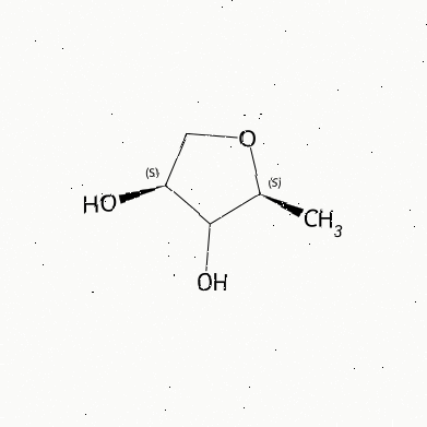 C[C@@H]1OC[C@H](O)C1O